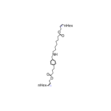 CCCCCC/C=C\COC(=O)CCCCCCCNCc1ccc(CCCC(=O)OC/C=C\CCCCCC)cc1